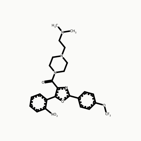 CN(C)CCN1CCN(C(=O)c2nc(-c3ccc(OC(F)(F)F)cc3)oc2-c2ccccc2[N+](=O)[O-])CC1